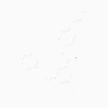 CCc1cc(NS(=O)(=O)c2ccccc2)cc(C(Nc2ccc(C=NN)cc2)C(=O)O)c1